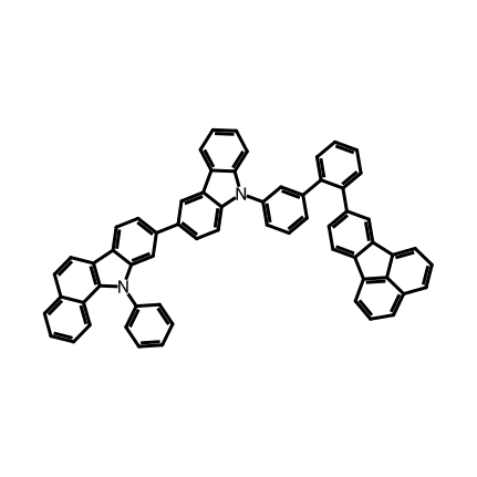 c1ccc(-n2c3cc(-c4ccc5c(c4)c4ccccc4n5-c4cccc(-c5ccccc5-c5ccc6c(c5)-c5cccc7cccc-6c57)c4)ccc3c3ccc4ccccc4c32)cc1